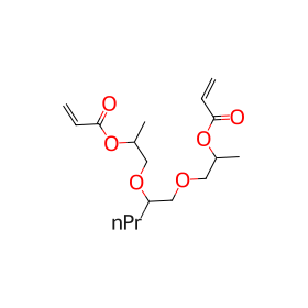 C=CC(=O)OC(C)COCC(CCC)OCC(C)OC(=O)C=C